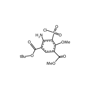 COC(=O)c1cc(C(=O)OC(C)(C)C)c(N)c(S(=O)(=O)Cl)c1OC